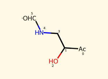 CC(=O)C(O)CN[C]=O